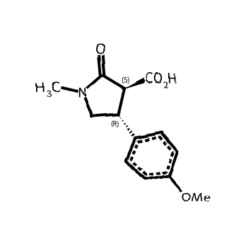 COc1ccc([C@@H]2CN(C)C(=O)[C@H]2C(=O)O)cc1